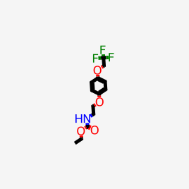 CCOC(=O)NCCOc1ccc(OCC(F)(F)F)cc1